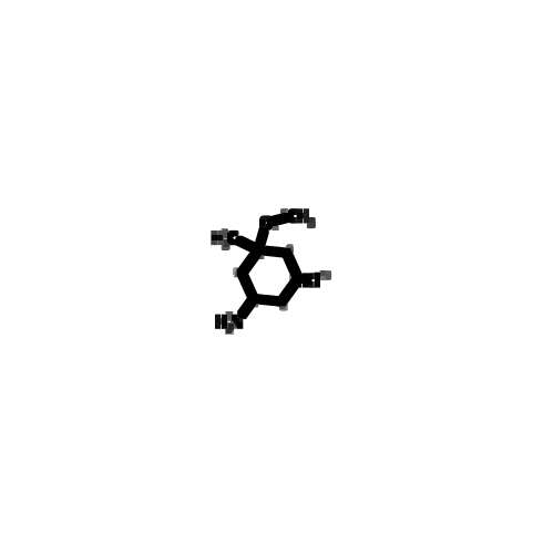 COC1(C)CCCC(N)C1.Cl